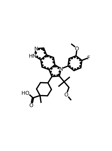 COCC(C)(C)c1c(C2CCC(C)(C(=O)O)CC2)c2cc3[nH]ncc3cc2n1-c1ccc(F)c(OC)c1